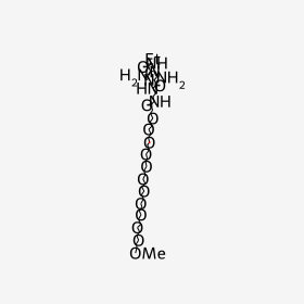 CCNC(=O)c1nc(N)c(C(=O)NCCNC(=O)CCOCCOCCOCCOCCOCCOCCOCCOCCOCCOCCOCCOC)nc1N